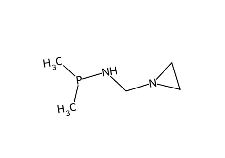 CP(C)NCN1CC1